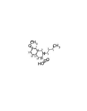 CCCCN1Cc2cc(OC)ccc2C[C@H]1C(=O)O